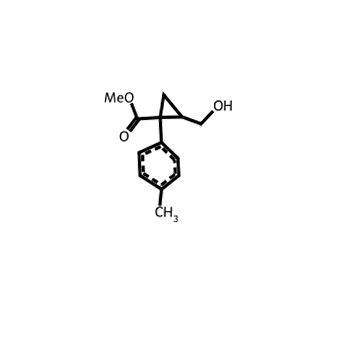 COC(=O)C1(c2ccc(C)cc2)CC1CO